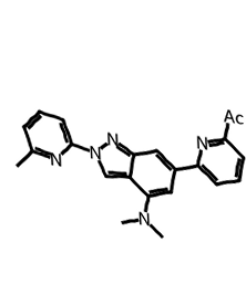 CC(=O)c1cccc(-c2cc(N(C)C)c3cn(-c4cccc(C)n4)nc3c2)n1